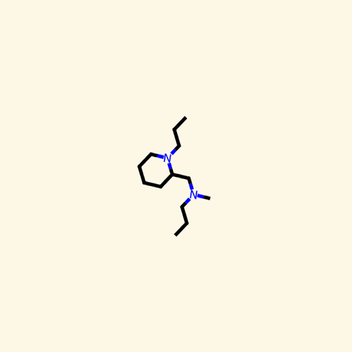 CCCN(C)CC1CCCCN1CCC